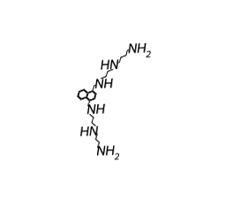 NCCCCNCCCCNCc1ccc(CNCCCCNCCCCN)c2ccccc12